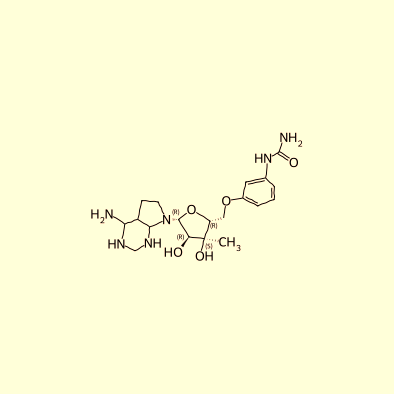 C[C@@]1(O)[C@@H](COc2cccc(NC(N)=O)c2)O[C@@H](N2CCC3C(N)NCNC32)[C@@H]1O